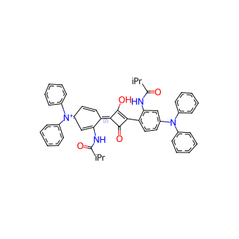 CC(C)C(=O)NC1=CC(=[N+](c2ccccc2)c2ccccc2)C=C/C1=C1/C(=O)C(c2ccc(N(c3ccccc3)c3ccccc3)cc2NC(=O)C(C)C)=C1O